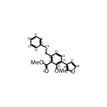 COC(=O)c1c(CSc2ccccc2)ccc(-c2ccoc2)c1OC